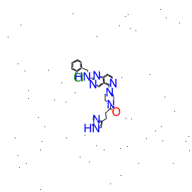 O=C(CCc1c[nH]cn1)N1CCN(c2nccc3nc(NCc4ccccc4Cl)ncc23)CC1